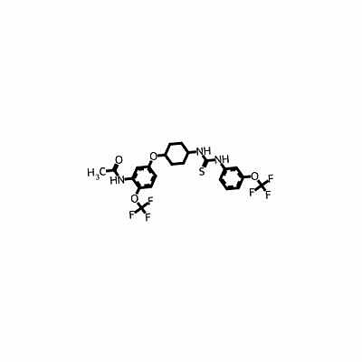 CC(=O)Nc1cc(OC2CCC(NC(=S)Nc3cccc(OC(F)(F)F)c3)CC2)ccc1OC(F)(F)F